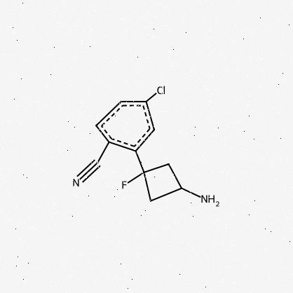 N#Cc1ccc(Cl)cc1C1(F)CC(N)C1